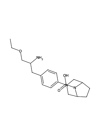 CCOCC(N)Cc1ccc(N2CC3CCC(C2)N3C(=O)O)cc1